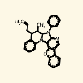 C=CCC1c2ccccc2N2c3c(ncc4c3oc3ccccc34)N(c3ccccc3)C2C1C